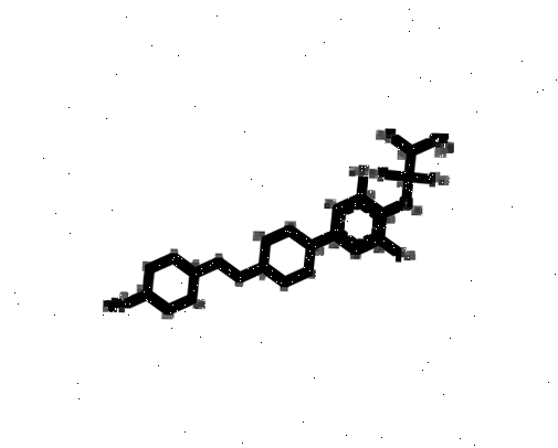 CCCC1CCC(CCC2CCC(c3cc(F)c(OC(F)(F)C(F)C(F)(F)F)c(F)c3)CC2)CC1